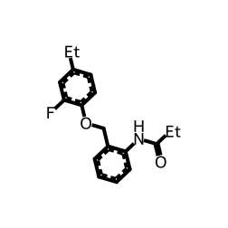 CCC(=O)Nc1ccccc1COc1ccc(CC)cc1F